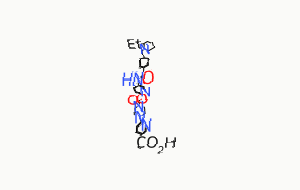 CCC1CCCCN1Cc1ccc(C(=O)Nc2ccc(OC(=O)N3CCN(c4ccc(C(=O)O)cn4)CC3)nc2)cc1